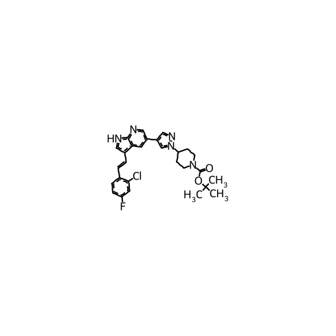 CC(C)(C)OC(=O)N1CCC(n2cc(-c3cnc4[nH]cc(C=Cc5ccc(F)cc5Cl)c4c3)cn2)CC1